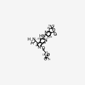 CC[C@@](C)(N)c1cnc(OCCCS(C)(=O)=O)c2cnc(Nc3ccc4c(n3)CC(C)(C)OC4=O)cc12